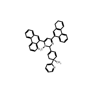 CN1C(c2cc3ccccc3c3ccccc23)=CC(c2cc3c(c4ccccc24)C=CCC3)=NC1C1=CC[C@@](C)(c2ccccn2)C=C1